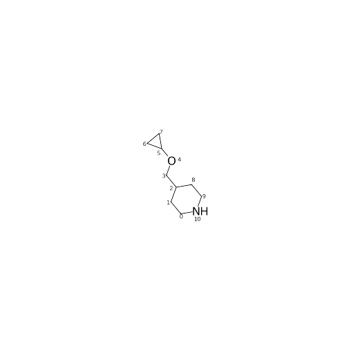 C1CC(COC2CC2)CCN1